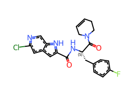 O=C(N[C@@H](Cc1ccc(F)cc1)C(=O)N1CC=CCC1)c1cc2cc(Cl)ncc2[nH]1